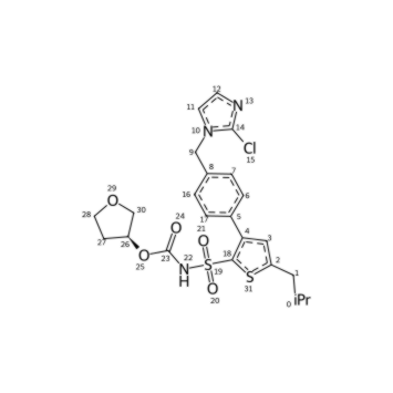 CC(C)Cc1cc(-c2ccc(Cn3ccnc3Cl)cc2)c(S(=O)(=O)NC(=O)O[C@H]2CCOC2)s1